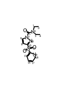 CCN(CC)C(=O)n1ccc(S(=O)(=O)c2ccccn2)n1